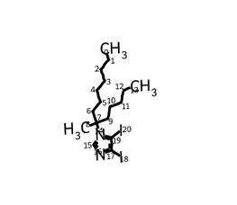 CCCCCCCC(C)(CCCCC)n1cnc(I)c1I